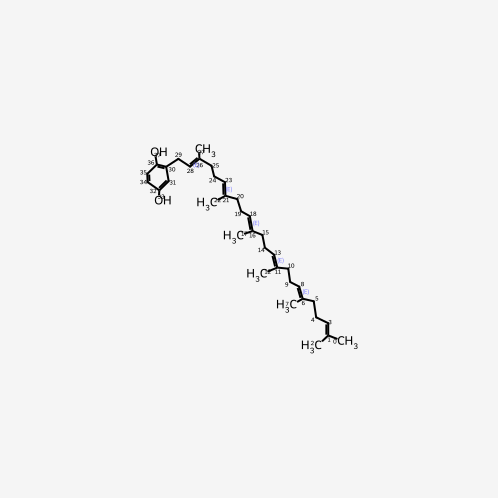 CC(C)=CCC/C(C)=C/CC/C(C)=C/CC/C(C)=C/CC/C(C)=C/CC/C(C)=C/Cc1cc(O)ccc1O